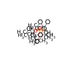 CC(C)(C)c1ccccc1-c1ccc(-c2ccccc2)c(-c2ccccc2C(C)(C)C)c1OPOc1c(-c2ccccc2C(C)(C)C)ccc(-c2ccccc2)c1-c1ccccc1C(C)(C)C